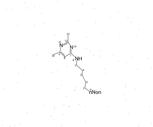 CCCCCCCCCCCCCCNc1cc(C)nc(C)n1